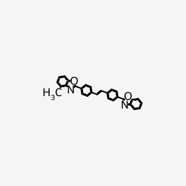 Cc1cccc2oc(-c3ccc(/C=C/c4ccc(-c5nc6ccccc6o5)cc4)cc3)nc12